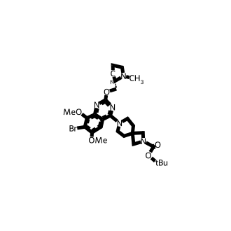 COc1cc2c(N3CCC4(CC3)CN(C(=O)OC(C)(C)C)C4)nc(OC[C@@H]3CCCN3C)nc2c(OC)c1Br